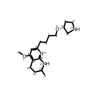 COc1cc(CCCCO[C@@H]2CCNC2)nc2c1CCC(C)N2